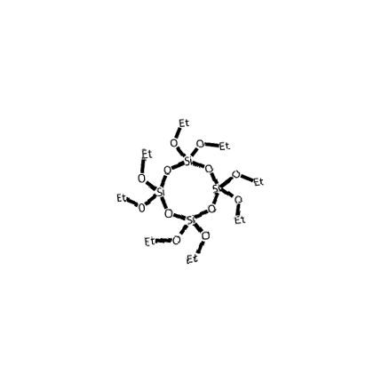 CCO[Si]1(OCC)O[Si](OCC)(OCC)O[Si](OCC)(OCC)O[Si](OCC)(OCC)O1